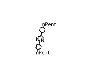 CCCCCc1ccc(-c2ncc(C3CCC(CCCCC)CC3)cn2)cc1